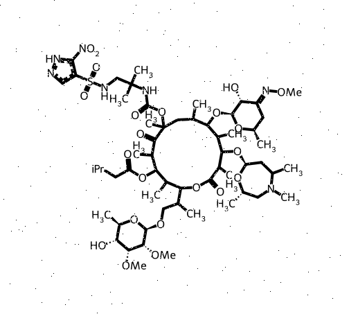 CON=C1C[C@@H](C)O[C@@H](OC2C(C)CC(C)(OC(=O)NC(C)(C)CNS(=O)(=O)c3cn[nH]c3[N+](=O)[O-])C(=O)C(C)C(OC(=O)CC(C)C)C(C)C(C(C)CO[C@@H]3O[C@H](C)[C@@H](O)[C@@H](OC)[C@H]3OC)OC(=O)C(C)C(O[C@H]3CC(C)N(C)C[C@H](C)O3)C2C)[C@@H]1O